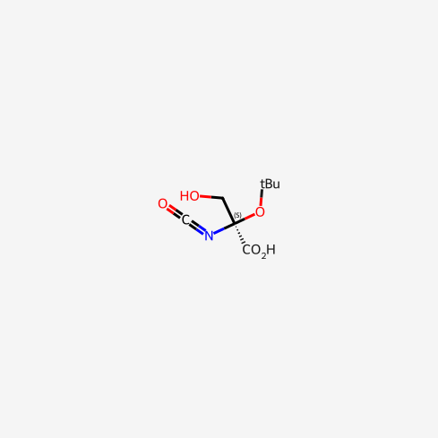 CC(C)(C)O[C@](CO)(N=C=O)C(=O)O